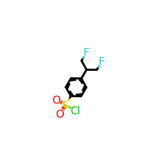 O=S(=O)(Cl)c1ccc(C(CF)CF)cc1